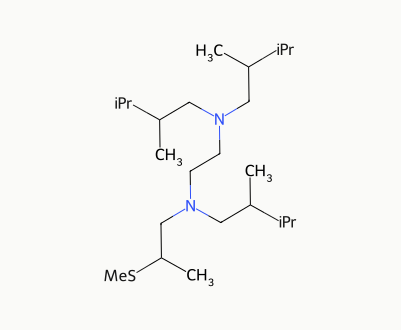 CSC(C)CN(CCN(CC(C)C(C)C)CC(C)C(C)C)CC(C)C(C)C